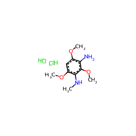 CNc1c(OC)cc(OC)c(N)c1OC.Cl.Cl